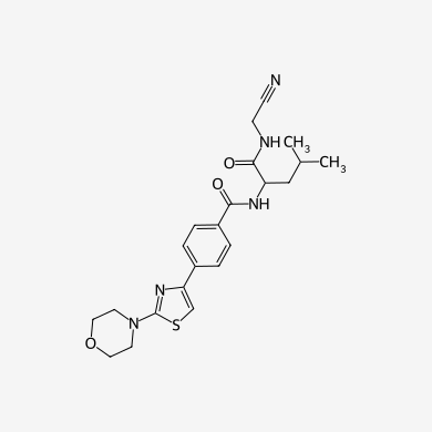 CC(C)CC(NC(=O)c1ccc(-c2csc(N3CCOCC3)n2)cc1)C(=O)NCC#N